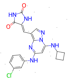 O=C1NC(=O)C(=Cc2cnn3c(NC4CCC4)cc(Nc4cccc(Cl)c4)nc23)N1